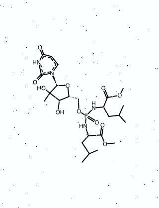 COC(=O)C(CC(C)C)NP(=O)(NC(CC(C)C)C(=O)OC)OC[C@H]1O[C@H](n2ccc(=O)[nH]c2=O)C(C)(O)C1O